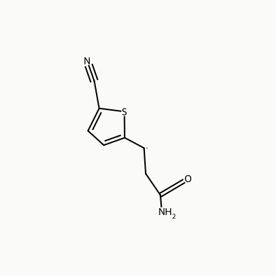 N#Cc1ccc([CH]CC(N)=O)s1